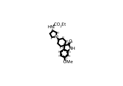 CCOC(=O)N[C@H]1CCN(C2CCC3(CC2)C(=O)Nc2cc(OC)ccc23)C1